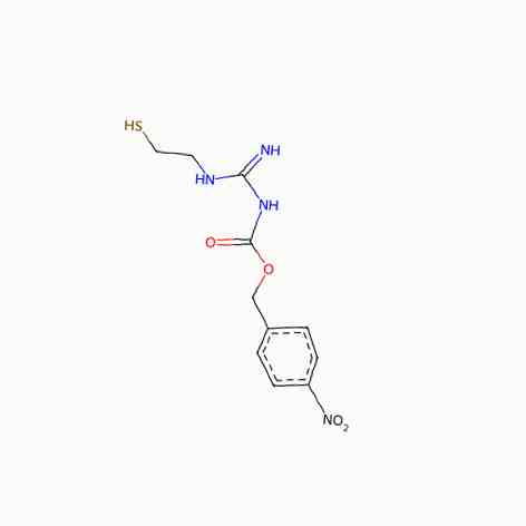 N=C(NCCS)NC(=O)OCc1ccc([N+](=O)[O-])cc1